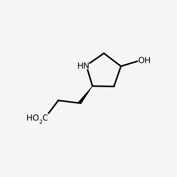 O=C(O)CC[C@@H]1CC(O)CN1